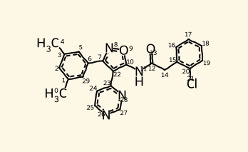 Cc1cc(C)cc(-c2noc(NC(=O)Cc3ccccc3Cl)c2-c2ccncn2)c1